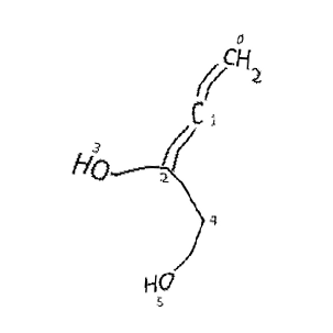 C=C=C(O)CO